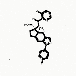 C[C@]12Cc3cnn(-c4ccc(F)cc4)c3C=C1CC[C@@]2(CO)CC(O)c1ncccc1F